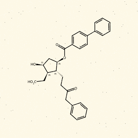 O=C(O)C[C@@H]1[C@@H](CCC(=O)Cc2ccccc2)[C@H](OC(=O)c2ccc(-c3ccccc3)cc2)C[C@@H]1O